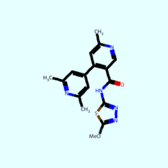 COc1nnc(NC(=O)c2cnc(C)cc2-c2cc(C)nc(C)c2)s1